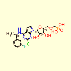 C[C@@H](Nc1nc(Cl)nc2c1ccn2[C@@H]1O[C@H](COCP(=O)(O)O)[C@@H](O)[C@H]1O)c1cccc(F)c1